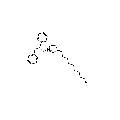 CCCCCCCCCCn1cc[n+](CC(Cc2ccccc2)c2ccccc2)c1